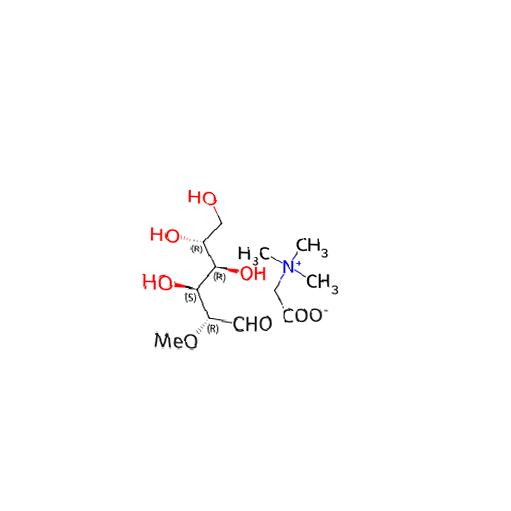 CO[C@@H](C=O)[C@@H](O)[C@H](O)[C@H](O)CO.C[N+](C)(C)CC(=O)[O-]